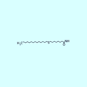 CCCCCCCCCCCCCCSCCCCCCCC([NH])=O